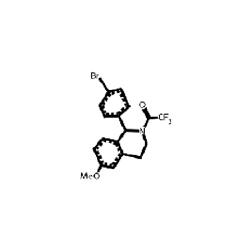 COc1ccc2c(c1)CCN(C(=O)C(F)(F)F)C2c1ccc(Br)cc1